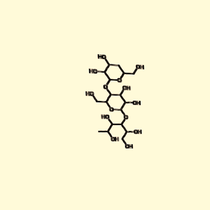 CC(O)C(O)C(OC1OC(CO)C(OC2OC(CO)CC(O)C2O)C(O)C1O)C(O)CO